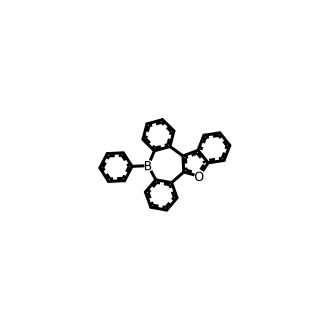 c1ccc(B2c3ccccc3-c3oc4ccccc4c3-c3ccccc32)cc1